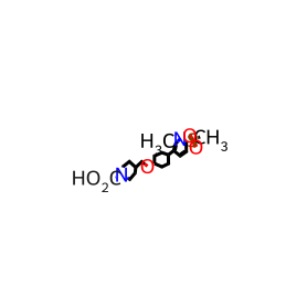 Cc1nc(S(C)(=O)=O)ccc1C1CCC(OCC2CCN(C(=O)O)CC2)CC1